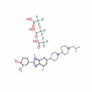 COc1ccc(-c2nc3c(C)cc(C4CCN(C5CCN(CC(C)C)CC5)CC4)cc3n2C)cc1OC.O=C(O)C(F)(F)F.O=C(O)C(F)(F)F.O=C(O)C(F)(F)F